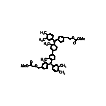 COC(=O)COCc1ccc(N(c2ccc(C)c(C)c2)c2ccc(-c3ccc(N(c4ccc(CCOC(=O)OC)cc4)c4ccc(C)c(C)c4)c(C)c3)cc2C)cc1